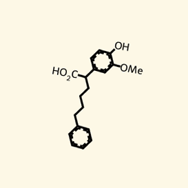 COc1cc(C(CCCCc2ccccc2)C(=O)O)ccc1O